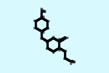 CC(C)(C)CCN1CCC(CN2CCN(C(C)(C)C)CC2)CC1=O